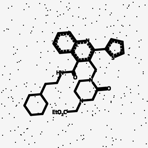 CCOC(=O)CN1CCN(Cc2c(-c3cccs3)nc3ccccc3c2C(=O)NCCC2CCCCC2)C(=O)C1